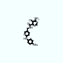 CC(C)(C)c1ccc(Nc2ccc(CNC(=O)c3ncnc(N)c3Cl)cn2)cc1